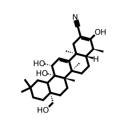 C[C@@H]1C(O)=C(C#N)C[C@]2(C)C3=C[C@@H](O)[C@]4(O)C5CC(C)(C)CC[C@]5(CO)CC[C@@]4(C)[C@]3(C)CC[C@@H]12